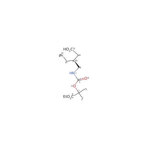 CCOC(=O)C(C)(C)OC(=O)NC[C@H](CC(=O)O)CC(C)C